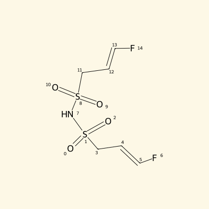 O=S(=O)(CC=CF)NS(=O)(=O)CC=CF